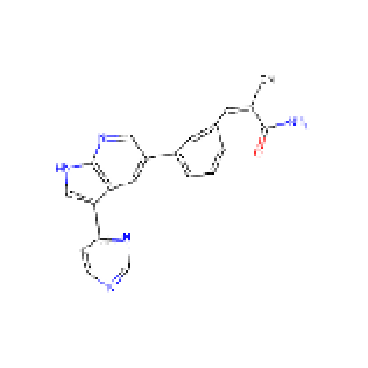 N#CC(=Cc1cccc(-c2cnc3[nH]cc(-c4ccncn4)c3c2)c1)C(N)=O